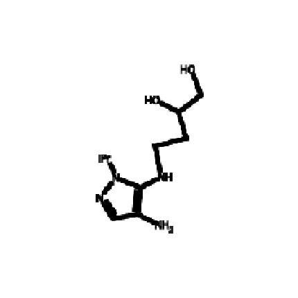 CC(C)n1ncc(N)c1NCCC(O)CO